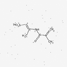 C=C(C)C(=O)N/C(C)=C/S(=O)(=O)O